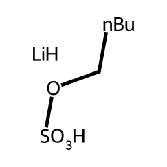 CCCCCOS(=O)(=O)O.[LiH]